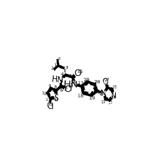 CC(C)C[C@@H](NC(=O)c1ccc(Cl)s1)C(=O)Nc1ccc(-n2ccncc2=O)cc1